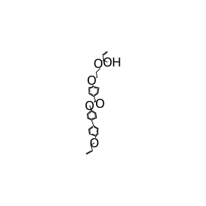 C=CCOc1ccc(-c2ccc(OC(=O)c3ccc(OCCCOC(O)C=C)cc3)cc2)cc1